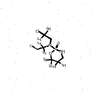 [2H]C([2H])(Cl)CN(C([2H])([2H])CCl)P1(=O)NCC([2H])([2H])C([2H])([2H])O1